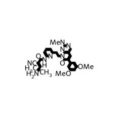 CNc1ncc2cc(-c3cc(OC)cc(OC)c3)c(=O)n(CCc3cccc(NC(=O)C(C#N)=CC(C)(C)N)n3)c2n1